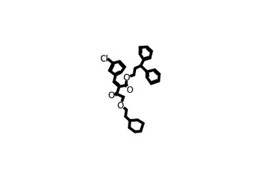 O=C(COCCC1CCCCC1)C(=Cc1cccc(Cl)c1)C(=O)OCCC(c1ccccc1)c1ccccc1